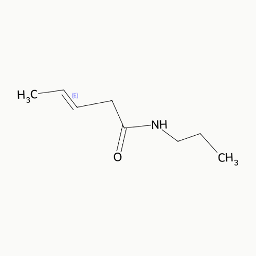 C/C=C/CC(=O)NCCC